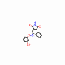 O=C1C=C(C/C(=N\Oc2cccc(O)c2)c2ccccc2)C(=O)N1